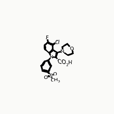 CS(=O)(=O)c1cccc(-n2c(C(=O)O)c(N3CCOCC3)c3c(Cl)c(F)ccc32)c1